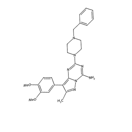 COc1ccc(-c2c(C)nn3c(N)nc(N4CCN(Cc5ccccc5)CC4)nc23)cc1OC